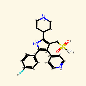 CS(=O)(=O)Cc1c(C2CCNCC2)[nH]c(-c2ccc(F)cc2)c1-c1ccncc1